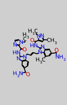 CCn1ccnc1C(=O)Nc1nc2cc(C(N)=O)ccc2n1C/C=C/Cn1c(NC(=O)c2cc(C)nn2CC)nc2cc(C(N)=O)cc(C)c21